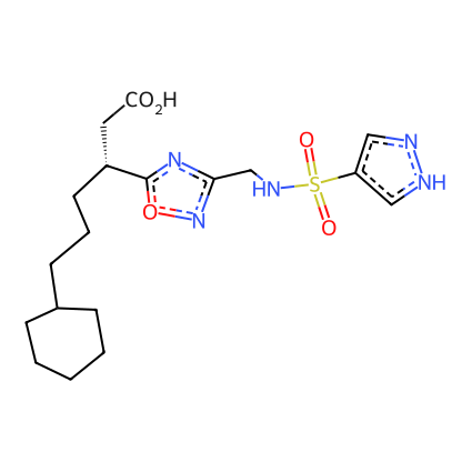 O=C(O)C[C@@H](CCCC1CCCCC1)c1nc(CNS(=O)(=O)c2cn[nH]c2)no1